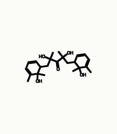 CC1=CC=CC(CC(C)(O)C(=O)C(C)(O)CC2C=CC=C(C)C2(C)O)C1(C)O